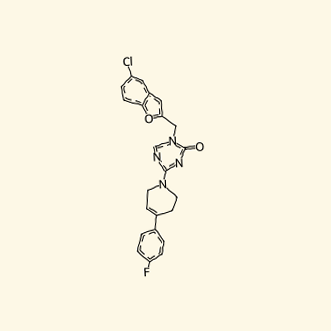 O=c1nc(N2CC=C(c3ccc(F)cc3)CC2)ncn1Cc1cc2cc(Cl)ccc2o1